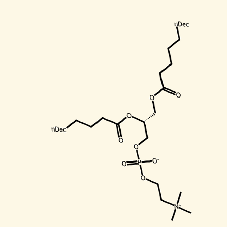 CCCCCCCCCCCCCCC(=O)OC[C@H](COP(=O)([O-])OCC[N+](C)(C)C)OC(=O)CCCCCCCCCCCCC